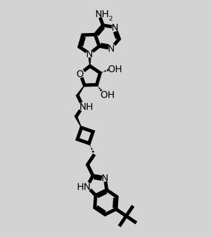 CC(C)(C)c1ccc2[nH]c(CC[C@H]3C[C@H](CNC[C@H]4O[C@@H](n5ccc6c(N)ncnc65)[C@H](O)[C@@H]4O)C3)nc2c1